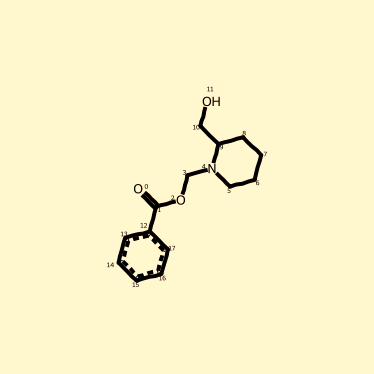 O=C(OCN1CCCCC1CO)c1ccccc1